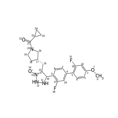 COc1ccc(-c2ccc(C3NN[N+]([O-])=C3C[C@@H]3CCN(C(=O)C4CC4)C3)c(F)c2)c(F)c1